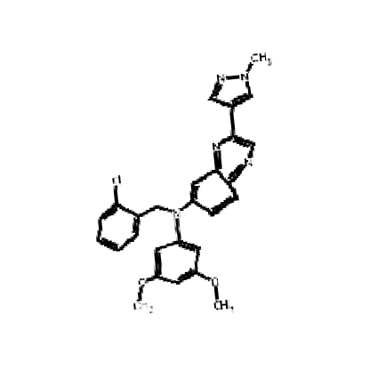 COc1cc(OC)cc(N(Cc2ccccc2Cl)c2ccc3ncc(-c4cnn(C)c4)nc3c2)c1